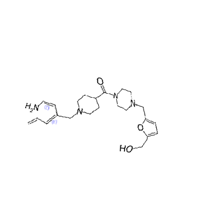 C=C/C=C(\C=C/N)CN1CCC(C(=O)N2CCN(Cc3ccc(CO)o3)CC2)CC1